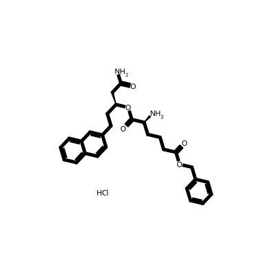 Cl.NC(=O)C[C@H](CCc1ccc2ccccc2c1)OC(=O)[C@@H](N)CCCC(=O)OCc1ccccc1